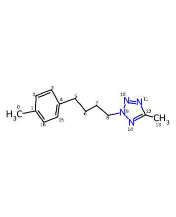 Cc1ccc(CCCCn2nnc(C)n2)cc1